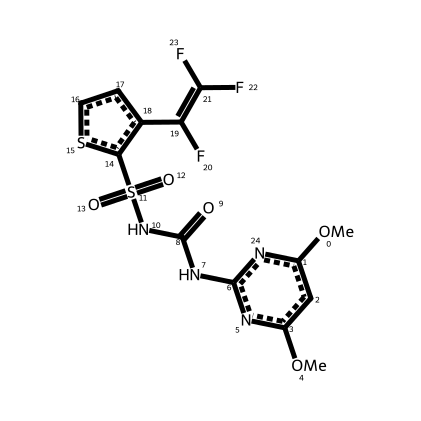 COc1cc(OC)nc(NC(=O)NS(=O)(=O)c2sccc2C(F)=C(F)F)n1